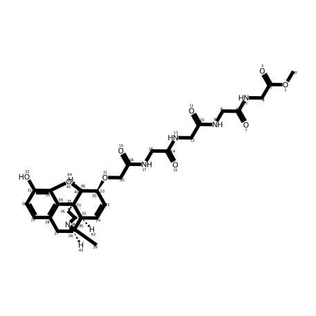 COC(=O)CNC(=O)CNC(=O)CNC(=O)CNC(=O)CO[C@H]1C=C[C@H]2[C@H]3Cc4ccc(O)c5c4[C@@]2(CCN3C)[C@H]1O5